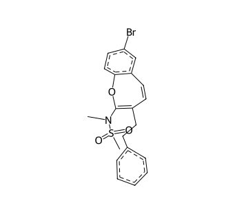 CN(C1=C(CCc2ccccc2)C=Cc2cc(Br)ccc2O1)S(C)(=O)=O